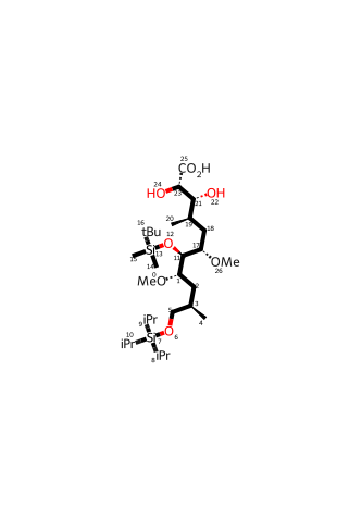 CO[C@@H](C[C@@H](C)CO[Si](C(C)C)(C(C)C)C(C)C)[C@@H](O[Si](C)(C)C(C)(C)C)[C@H](C[C@@H](C)[C@@H](O)[C@H](O)C(=O)O)OC